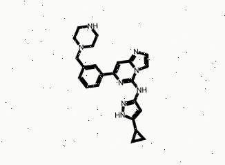 c1cc(CN2CCNCC2)cc(-c2cc3nccn3c(Nc3cc(C4CC4)[nH]n3)n2)c1